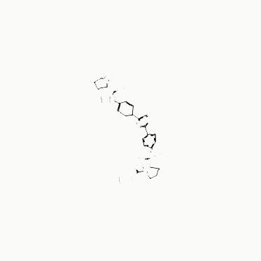 CC(=O)N1CCC[C@H]1C(=O)Nc1ccc(-c2nc(C3C=CC(NC(=O)[C@@H]4CCCN4)=CC3)cs2)cc1